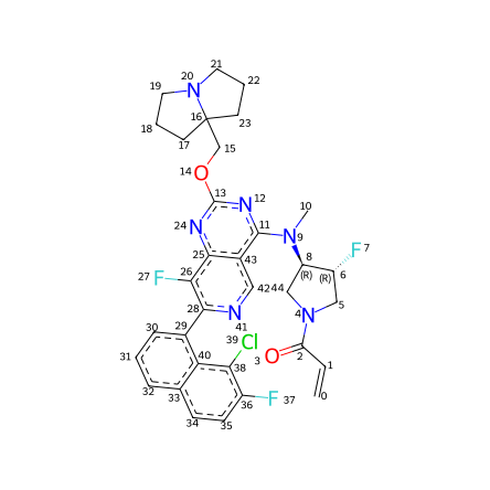 C=CC(=O)N1C[C@@H](F)[C@H](N(C)c2nc(OCC34CCCN3CCC4)nc3c(F)c(-c4cccc5ccc(F)c(Cl)c45)ncc23)C1